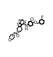 O=C(CN1CCOCC1)N1CCc2c(sc3ncnc(Nc4ccc(OCc5cccc(F)c5)c(Cl)c4)c23)C1